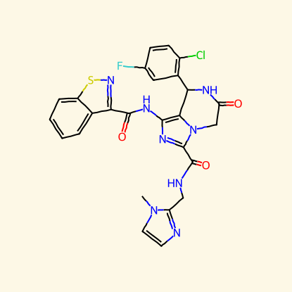 Cn1ccnc1CNC(=O)c1nc(NC(=O)c2nsc3ccccc23)c2n1CC(=O)NC2c1cc(F)ccc1Cl